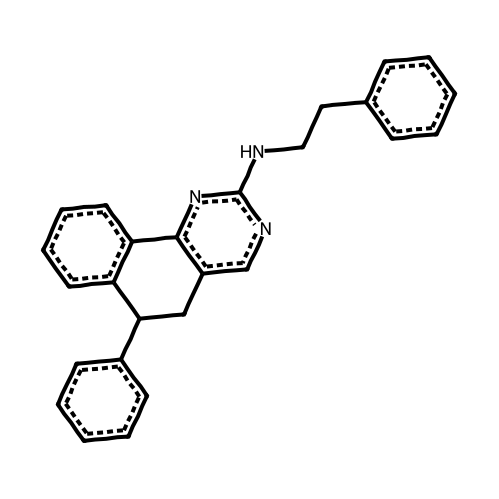 c1ccc(CCNc2ncc3c(n2)-c2ccccc2C(c2ccccc2)C3)cc1